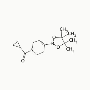 CC1(C)OB(C2=CCN(C(=O)C3CC3)CC2)OC1(C)C